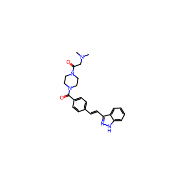 CN(C)CC(=O)N1CCN(C(=O)c2ccc(C=Cc3n[nH]c4ccccc34)cc2)CC1